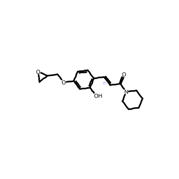 O=C(/C=C/c1ccc(OCC2CO2)cc1O)N1CCCCC1